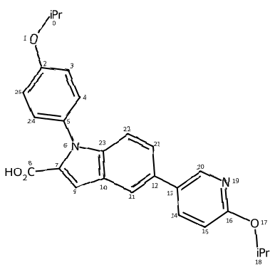 CC(C)Oc1ccc(-n2c(C(=O)O)cc3cc(-c4ccc(OC(C)C)nc4)ccc32)cc1